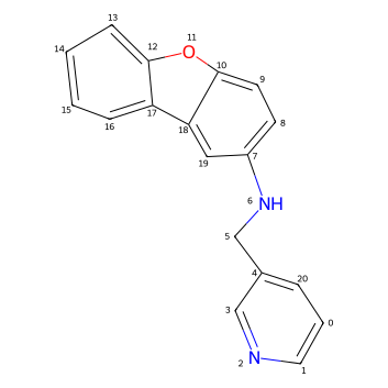 c1cncc(CNc2ccc3oc4ccccc4c3c2)c1